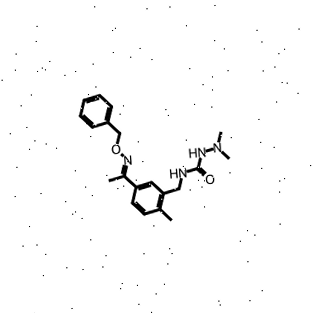 C/C(=N\OCc1ccccc1)c1ccc(C)c(CNC(=O)NN(C)C)c1